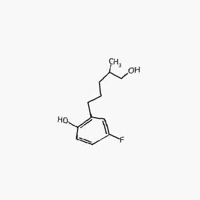 CC(CO)CCCc1cc(F)ccc1O